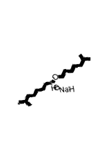 CC(C)CCCCCO[PH](=O)CCCCCC(C)C.[NaH]